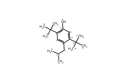 CN(C)Cc1cc(C(C)(C)C)c(O)cc1C(C)(C)C